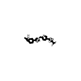 Cc1cc2ccc(-c3cn(Cc4ccc(-c5nnc(C(F)F)o5)cn4)nn3)cc2[nH]1